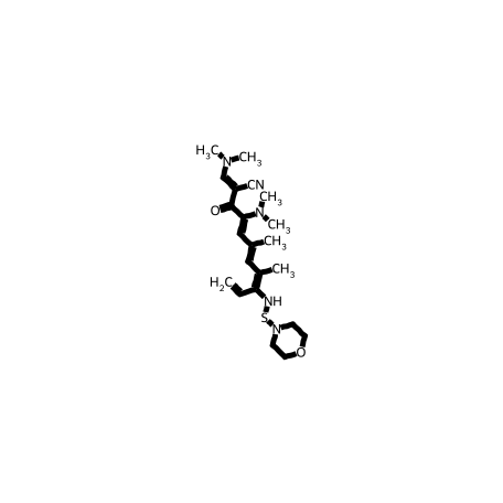 C=C\C(NSN1CCOCC1)=C(C)/C=C(C)/C=C(/C(=O)/C(C#N)=C/N(C)C)N(C)C